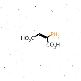 O=C(O)/C=C(/P)C(=O)O